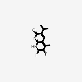 Cc1c2cc(C(C)C)c(=O)nc-2[nH]c(F)c1F